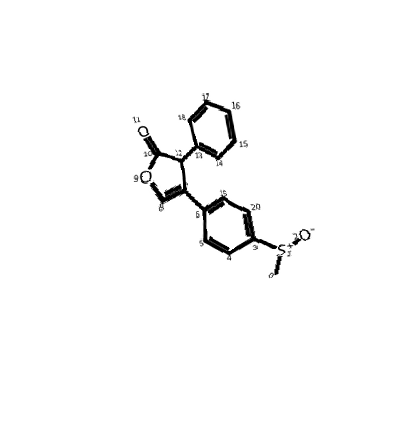 C[S+]([O-])c1ccc(C2=COC(=O)C2c2ccccc2)cc1